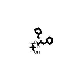 C[C@H](OC(=O)C(=Cc1ccccc1)OCc1ccccc1)C(C)(C)[C@@H](C)O